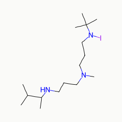 CC(C)C(C)NCCCN(C)CCCN(I)C(C)(C)C